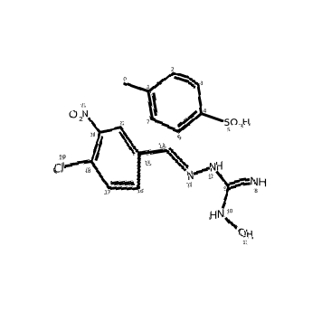 Cc1ccc(S(=O)(=O)O)cc1.N=C(NO)N/N=C/c1ccc(Cl)c([N+](=O)[O-])c1